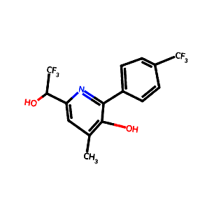 Cc1cc(C(O)C(F)(F)F)nc(-c2ccc(C(F)(F)F)cc2)c1O